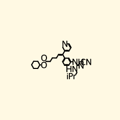 CC(C)CN/C(=N/C#N)Nc1cccc(/C(=C\CCCC(=O)OC2CCCCC2)c2cccnc2)c1